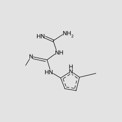 C/N=C(/NC(=N)N)Nc1ccc(C)[nH]1